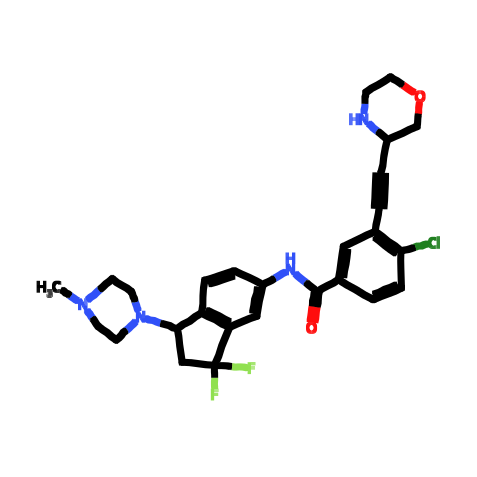 CN1CCN(C2CC(F)(F)c3cc(NC(=O)c4ccc(Cl)c(C#CC5COCCN5)c4)ccc32)CC1